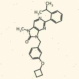 CC(C)c1ccccc1-c1ncc2c(n1)n(Cc1cccc(OC3CCC3)c1)c(=O)n2C